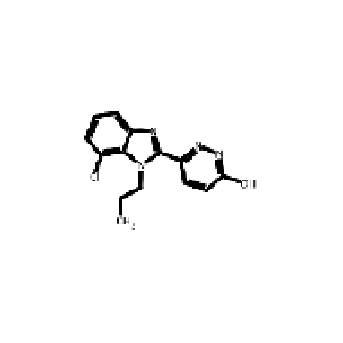 CCCn1c(-c2ccc(O)nn2)nc2cccc(Cl)c21